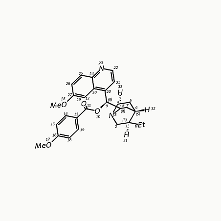 CC[C@H]1CN2CC[C@H]1C[C@@H]2[C@@H](OC(=O)c1ccc(OC)cc1)c1ccnc2ccc(OC)cc12